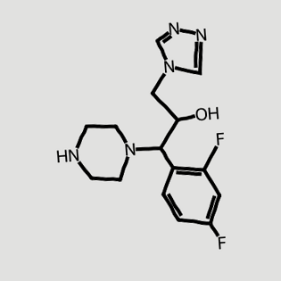 OC(Cn1cnnc1)C(c1ccc(F)cc1F)N1CCNCC1